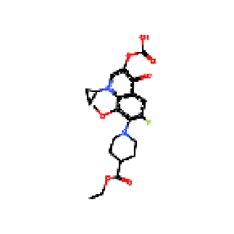 CCOC(=O)C1CCN(c2c(F)cc3c(=O)c(OC(=O)O)cn(C4CC4)c3c2OC)CC1